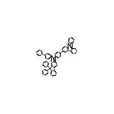 C1=CC2C(C=C1c1ccc(N(c3ccc(-c4ccccc4)cc3)c3ccc4c(c3)C(c3ccccc3)(c3ccccc3)c3ccccc3-4)cc1)C1=CCCC=C1N2c1ccccc1